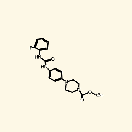 CC(C)(C)OC(=O)N1CCN(c2ccc(NC(=O)Nc3ccccc3F)cc2)CC1